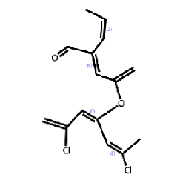 C=C(Cl)/C=C(\C=C(/C)Cl)OC(=C)/C=C(C=O)\C=C/C